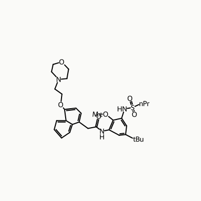 CCCS(=O)(=O)Nc1cc(C(C)(C)C)cc(NC(=O)Cc2ccc(OCCN3CCOCC3)c3ccccc23)c1OC